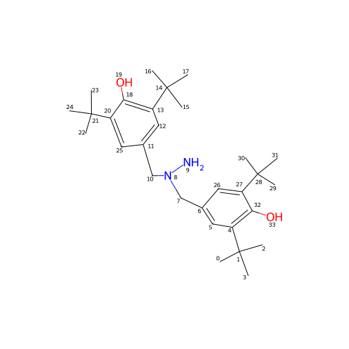 CC(C)(C)c1cc(CN(N)Cc2cc(C(C)(C)C)c(O)c(C(C)(C)C)c2)cc(C(C)(C)C)c1O